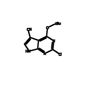 CC(C)(C)Oc1nc(Cl)nc2[nH]cc(C#N)c12